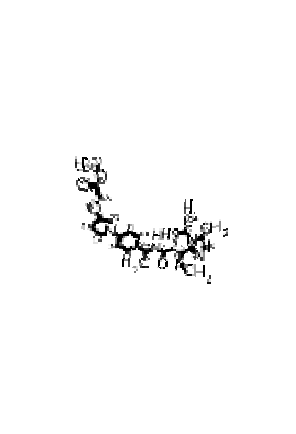 C=N[C@@H](CC(=O)N[C@H](C)c1ccc(N2CC[C@@H](OCC(=O)OC(C)(C)C)C2)cc1)c1nnc(C)n1C(=C)S